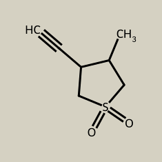 C#CC1CS(=O)(=O)CC1C